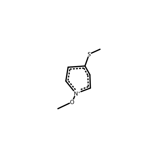 CO[n+]1ccc(SC)cc1